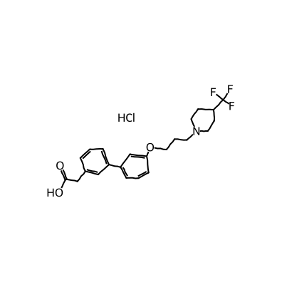 Cl.O=C(O)Cc1cccc(-c2cccc(OCCCN3CCC(C(F)(F)F)CC3)c2)c1